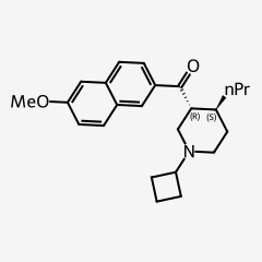 CCC[C@H]1CCN(C2CCC2)C[C@@H]1C(=O)c1ccc2cc(OC)ccc2c1